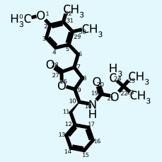 COc1ccc(CC2CC([C@H](Cc3ccccc3)NC(=O)OC(C)(C)C)OC2=O)c(C)c1C